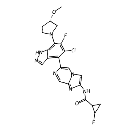 CO[C@H]1CCN(c2c(F)c(Cl)c(-c3cn4cc(NC(=O)C5CC5F)nc4cn3)c3cn[nH]c23)C1